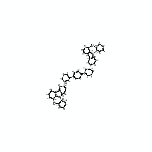 C1=C(c2ccc(-c3cccc(-c4ccc5c(c4)c4cccc6c4n5-c4ccccc4O6)c3)cc2)C=C(c2ccc3c(c2)c2cccc4c2n3-c2ccccc2O4)CC1